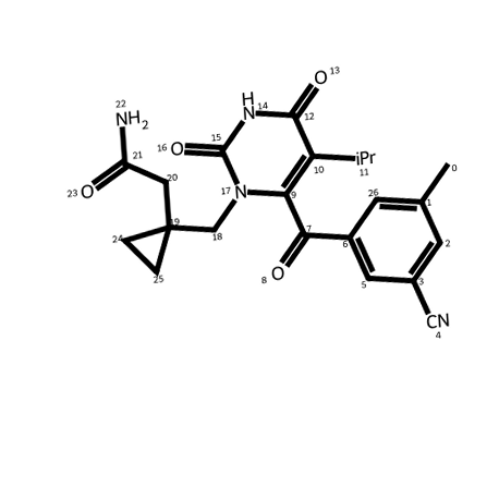 Cc1cc(C#N)cc(C(=O)c2c(C(C)C)c(=O)[nH]c(=O)n2CC2(CC(N)=O)CC2)c1